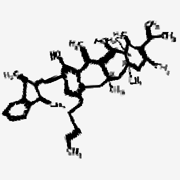 C=C(C)C1=C(C)C[C@@]2(C)C[C@@]3(C)Cc4c(CCCCC)cc(CC5C(=C)c6ccccc6C5=C)c(O)c4C(=C)C3=C(O)[C@@]2(C)C1=C